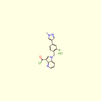 Cl.Cn1cc(-c2ccc(Cn3cc(C(=O)Cl)c4ncccc43)c(F)c2)cn1